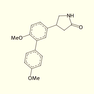 COc1ccc(-c2cc(C3CNC(=O)C3)ccc2OC)cc1